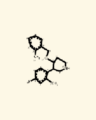 Cc1cc(F)ccc1C1CNCCC1OCc1ccccc1C(F)(F)F